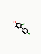 Oc1cc(Cl)c(-c2ccc(F)cc2)cc1I